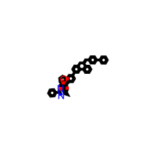 C(=C1\Cc2ccc(-c3ccc4c(c3)oc3ccc(C5=C\C=C\C(c6ccccc6)=N/C(c6ccccc6)=N\5)cc34)cc2-c2ccccc21)/c1ccc(-c2ccccc2)cc1